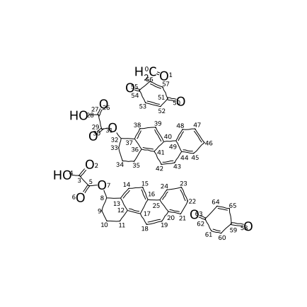 C=O.O=C(O)C(=O)OC1CCCc2c1ccc1c2ccc2ccccc21.O=C(O)C(=O)OC1CCCc2c1ccc1c2ccc2ccccc21.O=C1C=CC(=O)C=C1.O=C1C=CC(=O)C=C1